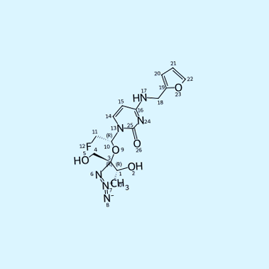 C[C@@H](O)[C@](CO)(N=[N+]=[N-])O[C@H](CF)n1ccc(NCc2ccco2)nc1=O